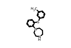 Cc1cccc(Sc2ccccc2N2CCCNCC2)c1